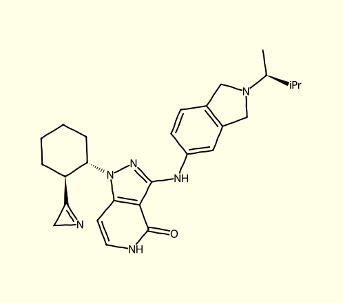 CC(C)[C@H](C)N1Cc2ccc(Nc3nn([C@H]4CCCC[C@@H]4C4=NC4)c4cc[nH]c(=O)c34)cc2C1